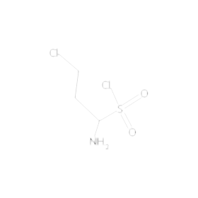 NC(CCCl)S(=O)(=O)Cl